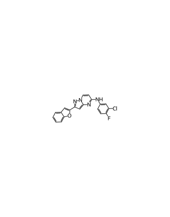 Fc1ccc(Nc2ccn3nc(-c4cc5ccccc5o4)cc3n2)cc1Cl